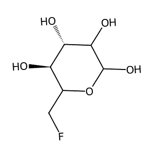 OC1OC(CF)[C@@H](O)[C@H](O)C1O